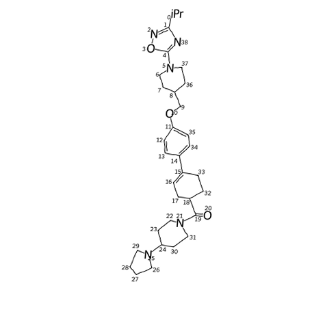 CC(C)c1noc(N2CCC(COc3ccc(C4=CCC(C(=O)N5CCC(N6CCCC6)CC5)CC4)cc3)CC2)n1